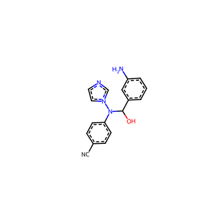 N#Cc1ccc(N(C(O)c2cccc(N)c2)n2ccnc2)cc1